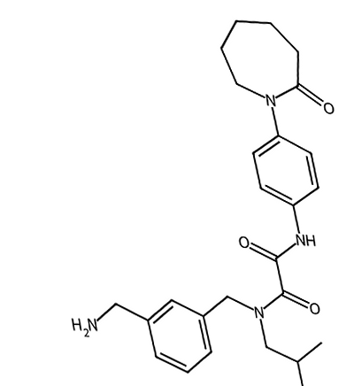 CC(C)CN(Cc1cccc(CN)c1)C(=O)C(=O)Nc1ccc(N2CCCCCC2=O)cc1